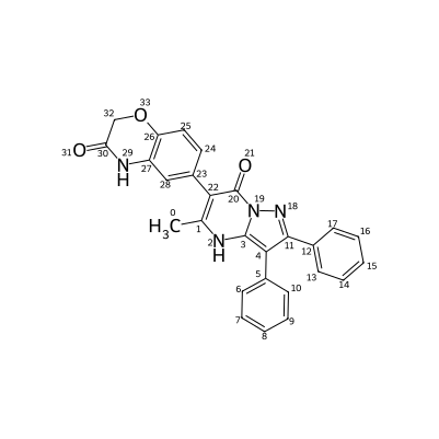 Cc1[nH]c2c(-c3ccccc3)c(-c3ccccc3)nn2c(=O)c1-c1ccc2c(c1)NC(=O)CO2